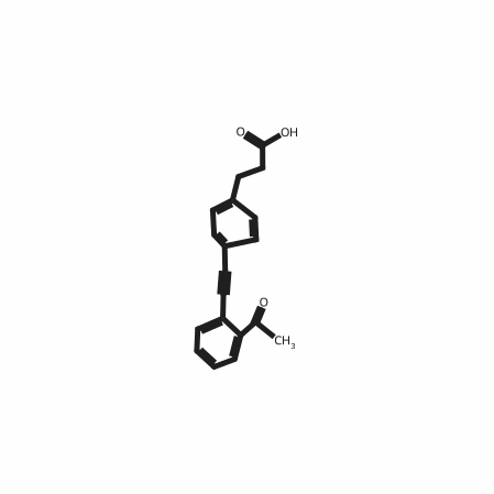 CC(=O)c1ccccc1C#Cc1ccc(CCC(=O)O)cc1